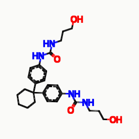 O=C(NCCCO)Nc1ccc(C2(c3ccc(NC(=O)NCCCO)cc3)CCCCC2)cc1